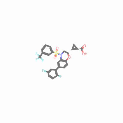 O=C(O)[C@H]1CC1[C@H]1CN(S(=O)(=O)c2cccc(C(F)(F)F)c2)c2cc(-c3cc(F)ccc3F)ccc2O1